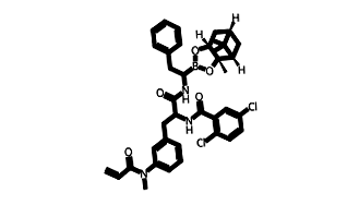 C=CC(=O)N(C)c1cccc(CC(NC(=O)c2cc(Cl)ccc2Cl)C(=O)NC(Cc2ccccc2)B2O[C@@H]3C[C@@H]4C[C@@H](C4(C)C)[C@]3(C)O2)c1